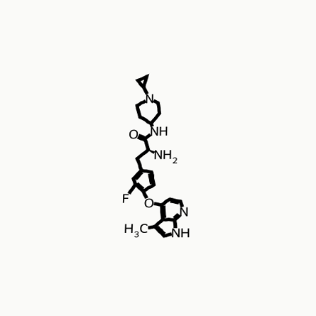 Cc1c[nH]c2nccc(Oc3ccc(C[C@H](N)C(=O)NC4CCN(C5CC5)CC4)cc3F)c12